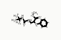 COC(=O)C(CNC(=O)NC(C)(C)C)Oc1ccccc1